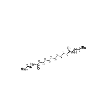 CC(C)(C)C=NNC(=O)CCCCCCCCCCC(=O)NN=CC(C)(C)C